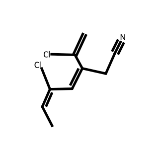 C=C(Cl)/C(=C\C(Cl)=C/C)CC#N